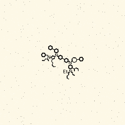 C=CCC(=C)N(Cc1ccccc1)C1=C=C(N(c2ccc(-c3ccc(N(C4=CC=CC(c5ccccc5)CC4)c4ccc(N(CC=C)/C(=C/C=C\C)CC)c(C(=C)/C=C\C)c4)cc3)cc2)c2cccc(-c3ccccc3)c2)C=C1CC/C=C\C